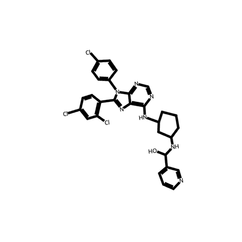 OC(NC1CCCC(Nc2ncnc3c2nc(-c2ccc(Cl)cc2Cl)n3-c2ccc(Cl)cc2)C1)c1cccnc1